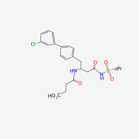 CCCS(=O)(=O)NC(=O)CC(Cc1ccc(-c2cccc(Cl)c2)cc1)NC(=O)CCC(=O)O